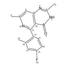 Cc1cc2nc(C)[nH]c(=O)c2c(-c2ccc(F)cc2C)n1